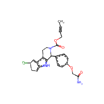 CC#CCOC(=O)N1CCc2c([nH]c3c2=CC(Cl)CC=3)C1c1ccc(OCC(N)=O)cc1